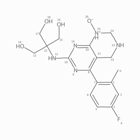 Cc1cc(F)ccc1-c1nc(NC(CO)(CO)CO)nc2c1CNC[NH+]2[O-]